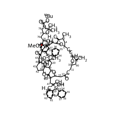 C=C1C(C)CC2CC[C@@H]3OC(CCC(=O)CC4OC5C(CC(C)(C)[Si](O)(c6ccccc6)c6ccccc6)[C@H]6OC(CCC6O[C@H]5C4CC(C)(C)[Si](O)(c4ccccc4)c4ccccc4)CC(=O)CC4[C@H](CC1O2)O[C@H](CC1CN(C(=O)OC(C)(C)C)C(C)(C)O1)[C@@H]4OC)CC3=C